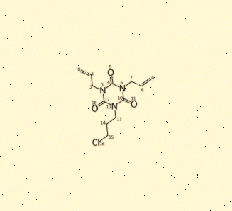 C=CCn1c(=O)n(CC=C)c(=O)n(CCCCl)c1=O